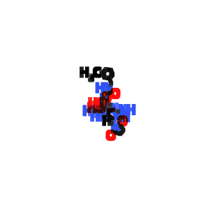 Cc1cccc(CNC(=O)O[C@H]2CN3C(=N)N[C@@H](CN4C(=O)CCC4=O)[C@@H]4NC(=N)N[C@@]43C2(O)O)c1